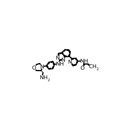 C=CC(=O)Nc1ccnc(-c2cccc3cnc(Nc4ccc(N5CCOC[C@@H]5CN)cc4)nc23)c1